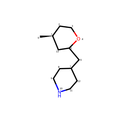 C[C@H]1CCOC(CC2CCNCC2)C1